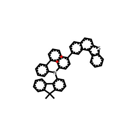 CC1(C)c2ccccc2-c2c(N(c3ccc(-c4ccc5ccc6sc7ccccc7c6c5c4)cc3)c3ccccc3-c3ccccc3)cccc21